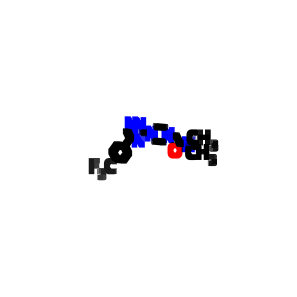 CN(C)C(=O)CN1CCN(c2nncc(-c3ccc(C(F)(F)F)cc3)n2)CC1